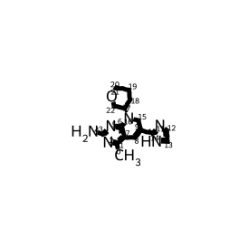 Cc1nc(N)nc2c1C=C(c1ncc[nH]1)CN2[C@@H]1CCCOC1